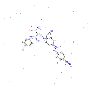 N#CCC1(N/C=C(\C(=N)Nc2ccc(F)cc2)C(N)=O)CCC(NCc2ccc(C#N)cc2)CC1